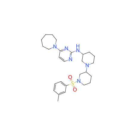 Cc1cccc(S(=O)(=O)N2CCCC(N3CCCC(Nc4nccc(N5CCCCCC5)n4)C3)C2)c1